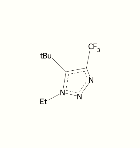 CCn1nnc(C(F)(F)F)c1C(C)(C)C